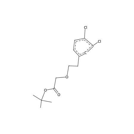 CC(C)(C)OC(=O)COCCc1ccc(Cl)c(Cl)c1